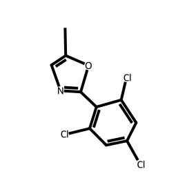 Cc1cnc(-c2c(Cl)cc(Cl)cc2Cl)o1